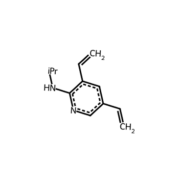 C=Cc1cnc(NC(C)C)c(C=C)c1